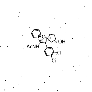 CC(=O)N[C@H](c1ccccc1)C(c1ccc(Cl)c(Cl)c1)[N+]1(O)CC[C@H](O)C1